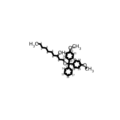 CCCCCCCC(O)CCOC(c1ccccc1)(c1ccc(OC)cc1)c1ccc(OC)cc1